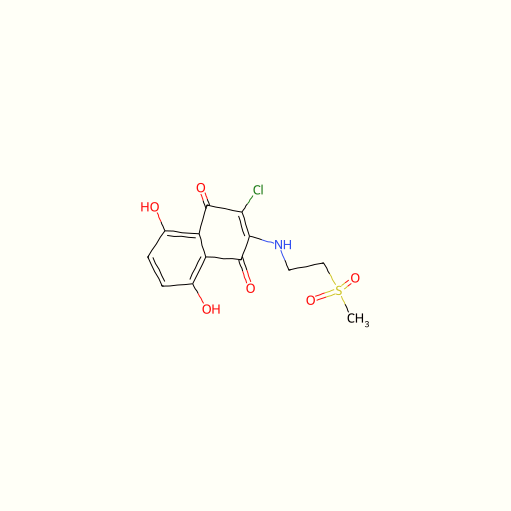 CS(=O)(=O)CCNC1=C(Cl)C(=O)c2c(O)ccc(O)c2C1=O